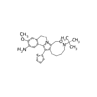 COc1cc2c(cc1N)-c1c(-c3cccs3)c3c(n1CC2)CON(C(C)(C)C)CCCC3